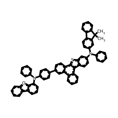 CC1(C)c2ccccc2-c2ccc(N(c3ccccc3)c3ccc4c(c3)sc3c5ccc(-c6ccc(N(c7ccccc7)c7cccc8c7oc7ccccc78)cc6)cc5c5ccccc5c43)cc21